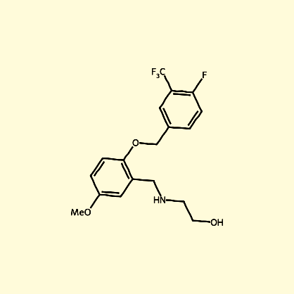 COc1ccc(OCc2ccc(F)c(C(F)(F)F)c2)c(CNCCO)c1